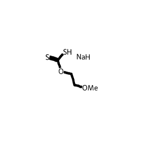 COCCOC(=S)S.[NaH]